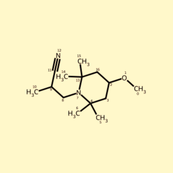 COC1CC(C)(C)N(CC(C)C#N)C(C)(C)C1